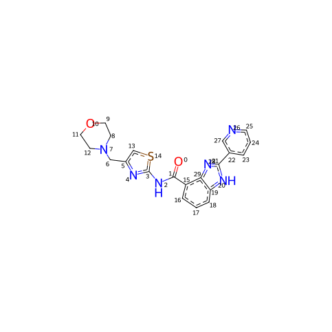 O=C(Nc1nc(CN2CCOCC2)cs1)c1cccc2[nH]c(-c3cccnc3)nc12